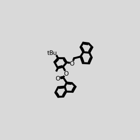 Cc1cc(C(C)(C)C)cc(OCc2cccc3ccccc23)c1OC(=O)c1cccc2ccccc12